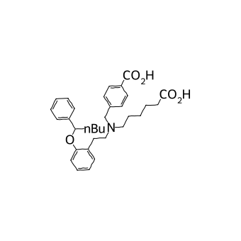 CCCCC(Oc1ccccc1CCN(CCCCCC(=O)O)Cc1ccc(C(=O)O)cc1)c1ccccc1